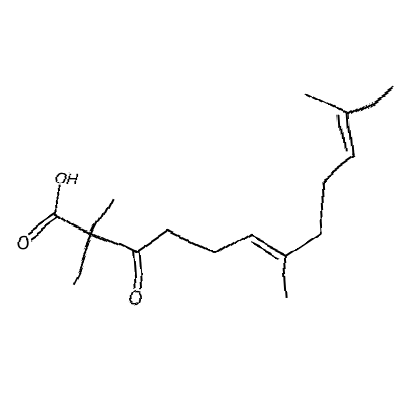 CC(C)=CCCC(C)=CCCC(=O)C(C)(C)C(=O)O